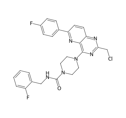 O=C(NCc1ccccc1F)N1CCN(c2nc(CCl)nc3ccc(-c4ccc(F)cc4)nc23)CC1